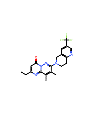 CCc1cc(=O)n2nc(N3CCc4ncc(C(F)(F)F)cc4C3)c(C)c(C)c2n1